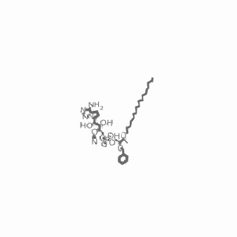 CCCCCCCCCCCCCCCCCCO[C@@H](C)[C@H](COP(=O)(O)OC[C@@H](OC#N)[C@@H](O)[C@@H](O)c1ccc2c(N)ncnn12)OCc1ccccc1